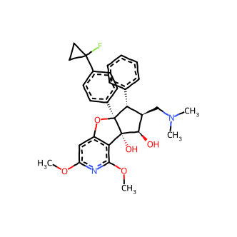 COc1cc2c(c(OC)n1)[C@]1(O)[C@H](O)[C@H](CN(C)C)[C@@H](c3ccccc3)[C@]1(c1ccc(C3(F)CC3)cc1)O2